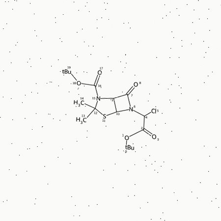 CC(C)(C)OC(=O)C(Cl)N1C(=O)C2C1SC(C)(C)N2C(=O)OC(C)(C)C